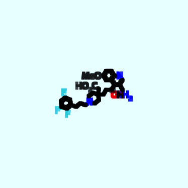 COc1ccc2ncc(CN)c([C@H](O)CCC3(CC(=O)O)CCN(CCCc4cc(F)cc(F)c4F)CC3)c2c1